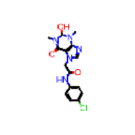 CN1C(=O)c2c(ncn2CC(=O)Nc2ccc(Cl)cc2)N(C)C1O